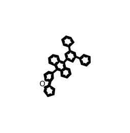 c1ccc(-c2cc(-c3ccccc3)cc(-c3c4ccccc4c(-c4ccc5oc6ccccc6c5c4)c4ccccc34)c2)cc1